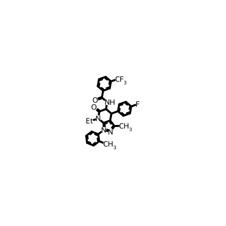 CCN1C(=O)C(NC(=O)c2cccc(C(F)(F)F)c2)C(c2ccc(F)cc2)c2c(C)nn(-c3ccccc3C)c21